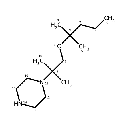 CCCC(C)(C)OCC(C)(C)N1CCNCC1